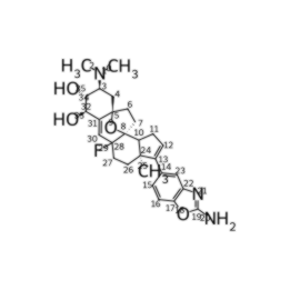 CN(C)[C@H]1C[C@@]23CC[C@]4(O2)C2CC=C(c5ccc6oc(N)nc6c5)[C@@]2(C)CCC4(F)C=C3[C@@H](O)[C@@H]1O